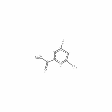 COC(=O)c1cc(Cl)cc(C(F)(F)F)n1